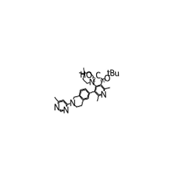 Cc1cc(N2CCc3cc(-c4c(C)nc(C)c([C@H](OC(C)(C)C)C(=O)O)c4N4CCC(C)(C)CC4)ccc3C2)ncn1